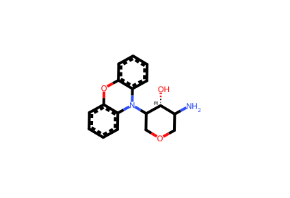 NC1COCC(N2c3ccccc3Oc3ccccc32)[C@@H]1O